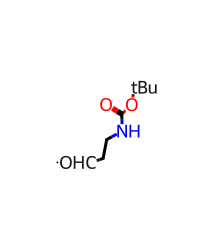 CC(C)(C)OC(=O)NCC[C]=O